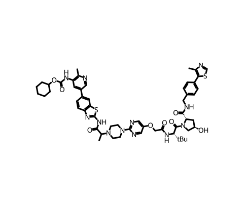 Cc1ncc(-c2ccc3nc(NC(=O)C(C)N4CCN(c5ncc(OCC(=O)N[C@H](C(=O)N6C[C@H](O)C[C@H]6C(=O)NCc6ccc(-c7scnc7C)cc6)C(C)(C)C)cn5)CC4)sc3c2)cc1NC(=O)OC1CCCCC1